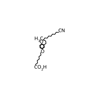 CC1(CCCCCCCCC#N)CCc2cc(OCCCCCCCC(=O)O)ccc2O1